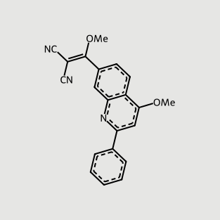 COC(=C(C#N)C#N)c1ccc2c(OC)cc(-c3ccccc3)nc2c1